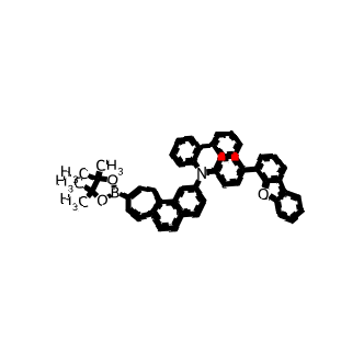 CC1(C)OB(C2=CCc3c(ccc4ccc(N(c5ccc(-c6cccc7c6oc6ccccc67)cc5)c5ccccc5-c5ccccc5)cc34)C=C2)OC1(C)C